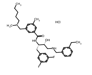 CCCCCN(C)Cc1cc(C)cc(C(=O)N[C@@H](Cc2cc(F)cc(F)c2)[C@H](O)CNCc2cccc(CC)c2)c1.Cl